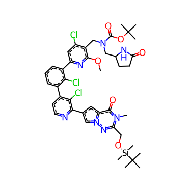 COc1nc(-c2cccc(-c3ccnc(-c4cc5c(=O)n(C)c(CO[Si](C)(C)C(C)(C)C)nn5c4)c3Cl)c2Cl)cc(Cl)c1CN(CC1CCC(=O)N1)C(=O)OC(C)(C)C